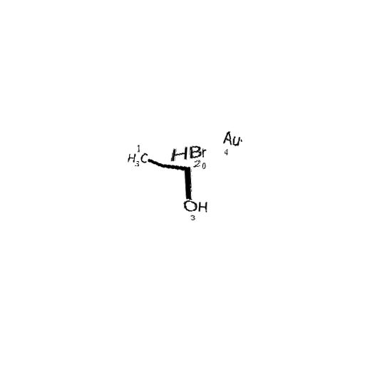 Br.CCO.[Au]